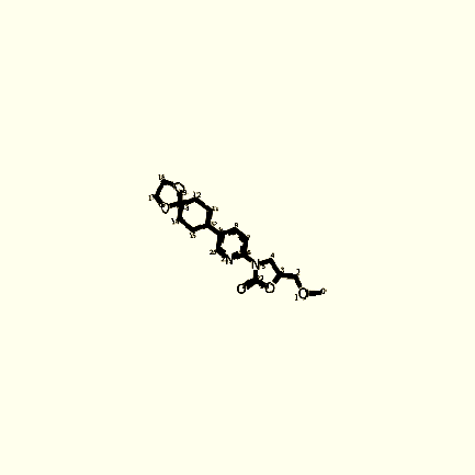 COCC1CN(c2ccc(C3CCC4(CC3)OCCO4)cn2)C(=O)O1